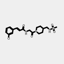 CS(=O)(=O)NCC1CCN(C(=O)CNC(=O)/C=C/c2cccc(Cl)c2)CC1